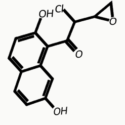 O=C(c1c(O)ccc2ccc(O)cc12)C(Cl)C1CO1